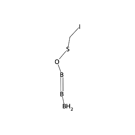 BB=BOSCI